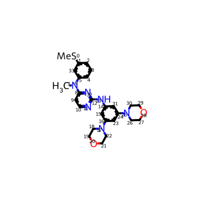 CSc1cccc(N(C)c2ccnc(Nc3cc(N4CCOCC4)cc(N4CCOCC4)c3)n2)c1